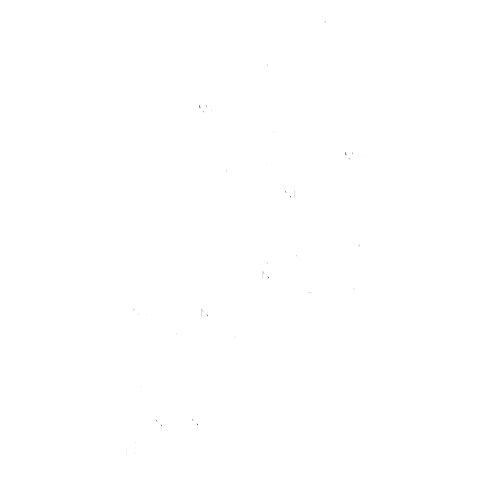 COc1cc(F)cc(SC)c1C(=O)NCC1(N2CCN([S+]([O-])c3cnn(C)c3)CC2)CCCC1